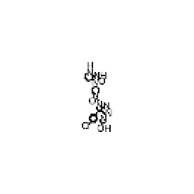 O=C(Cn1cc(-c2ccc(Cl)cc2)c2c(N3CC(O)C3)ncnc21)N1CCC(n2c3c([nH]c2=O)NCC=C3)CC1